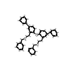 c1ccc(COCCc2cc(-c3ccccc3)ccc2Oc2ccc(-c3ccccc3)cc2CCOCc2ccccc2)cc1